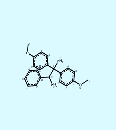 COc1ccc(C(N)(c2ccc(OC)cc2)C(N)c2ccccc2)cc1